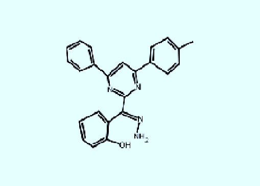 Cc1ccc(-c2cc(-c3ccccc3)nc(C(=NN)c3ccccc3O)n2)cc1